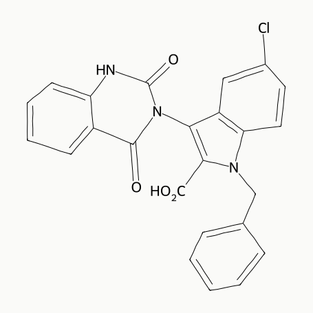 O=C(O)c1c(-n2c(=O)[nH]c3ccccc3c2=O)c2cc(Cl)ccc2n1Cc1ccccc1